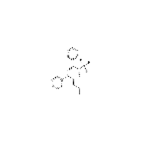 CCCCN(/C=C(\C(=O)C(F)(F)F)c1ccccc1)c1ccccc1